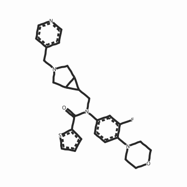 O=C(c1cccs1)N(CC1C2CN(Cc3ccncc3)CC21)c1ccc(N2CCOCC2)c(F)c1